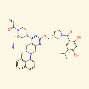 C=CC(=O)N1CCN(c2nc(OC[C@@H]3CCN(C(=O)c4cc(C(C)C)c(O)cc4O)C3)nc3c2CCN(c2cccc4cccc(Cl)c24)C3)C[C@@H]1CC#N